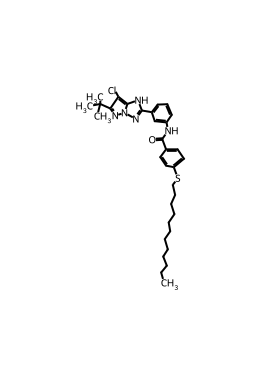 CCCCCCCCCCCCSc1ccc(C(=O)Nc2cccc(-c3nn4nc(C(C)(C)C)c(Cl)c4[nH]3)c2)cc1